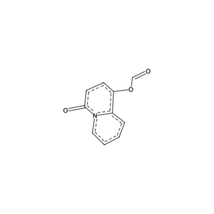 O=COc1ccc(=O)n2ccccc12